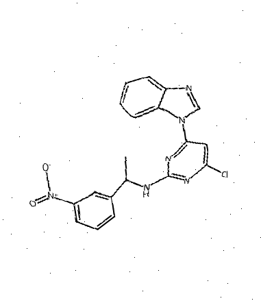 CC(Nc1nc(Cl)cc(-n2cnc3ccccc32)n1)c1cccc([N+](=O)[O-])c1